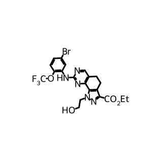 CCOC(=O)c1nn(CCO)c2c1CCc1cnc(Nc3cc(Br)ccc3OC(F)(F)F)nc1-2